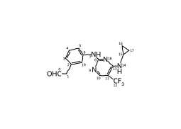 O=CCc1cccc(Nc2ncc(C(F)(F)F)c(NC3CC3)n2)c1